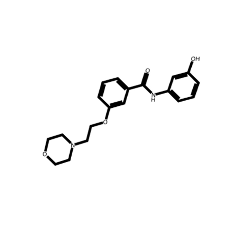 O=C(Nc1cccc(O)c1)c1cccc(OCCN2CCOCC2)c1